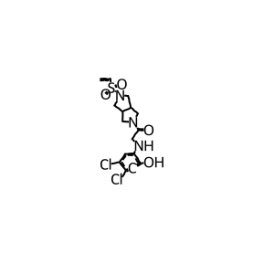 C=CS(=O)(=O)N1CC2CN(C(=O)CNc3cc(Cl)c(Cl)cc3O)CC2C1